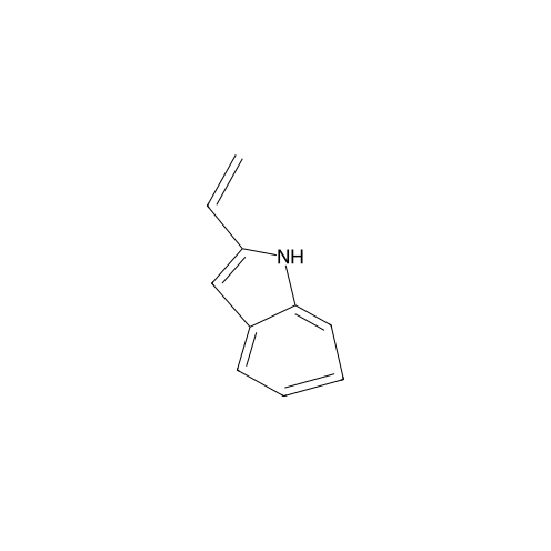 C=Cc1cc2ccccc2[nH]1